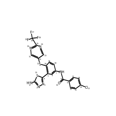 Nc1nnc(-c2cc(NC(=O)c3ccc(Cl)cc3)ccc2Sc2cnc(C(F)(F)F)nc2)s1